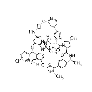 Cc1ncsc1-c1ccc([C@H](C)NC(=O)[C@@H]2C[C@@H](O)CN2C(=O)[C@H](C(C)C)n2cc(-c3ccnc(O[C@H]4C[C@@H](NC(=O)C[C@@H]5N=C(c6ccc(Cl)cc6)c6c(sc(C)c6C)-n6c(C)nnc65)C4)c3)cn2)cc1